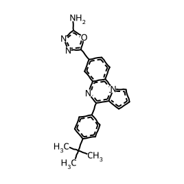 CC(C)(C)c1ccc(-c2nc3cc(-c4nnc(N)o4)ccc3n3cccc23)cc1